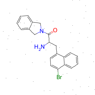 NC(Cc1ccc(Br)c2ccccc12)C(=O)N1Cc2ccccc2C1